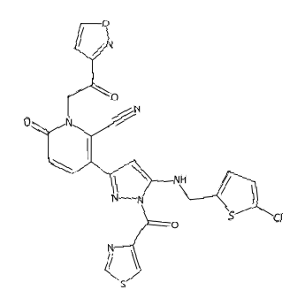 N#Cc1c(-c2cc(NCc3ccc(Cl)s3)n(C(=O)c3cscn3)n2)ccc(=O)n1CC(=O)c1ccon1